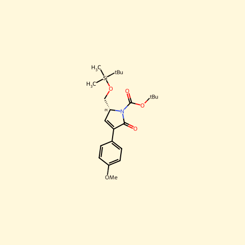 COc1ccc(C2=C[C@H](CO[Si](C)(C)C(C)(C)C)N(C(=O)OC(C)(C)C)C2=O)cc1